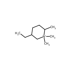 CCC1CCC(C)[N+](C)(C)C1